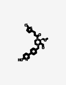 COC[C@@H]1C(C=O)N(Cc2ccc(-c3ccc(O)nc3)cc2)CCN1C(=O)/C=C/c1ccc(Cl)s1